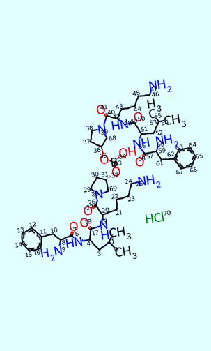 CC(C)CC(NC(=O)C(N)Cc1ccccc1)C(=O)NC(CCCCN)C(=O)N1CC[C@H](OB(O)O[C@H]2CCN(C(=O)C(CCCCN)NC(=O)C(CC(C)C)NC(=O)C(N)Cc3ccccc3)C2)C1.Cl